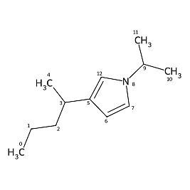 CCCC(C)c1ccn(C(C)C)c1